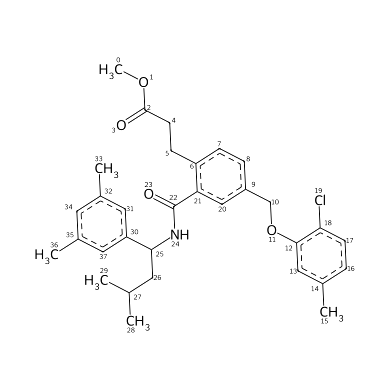 COC(=O)CCc1ccc(COc2cc(C)ccc2Cl)cc1C(=O)NC(CC(C)C)c1cc(C)cc(C)c1